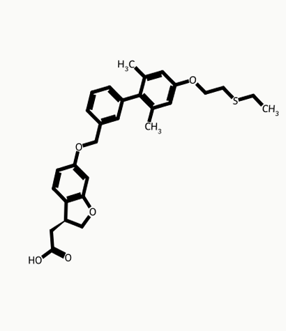 CCSCCOc1cc(C)c(-c2cccc(COc3ccc4c(c3)OC[C@H]4CC(=O)O)c2)c(C)c1